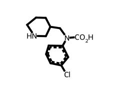 O=C(O)N(CC1CCCNC1)c1cccc(Cl)c1